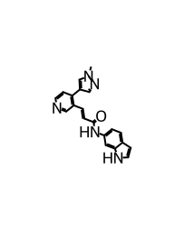 Cn1cc(-c2ccncc2C=CC(=O)Nc2ccc3cc[nH]c3c2)cn1